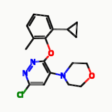 Cc1cccc(C2CC2)c1Oc1nnc(Cl)cc1N1CCOCC1